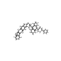 C1=C(c2ccccc2)CCC(c2c3ccccc3c(C3=CC=C4Sc5cc6cc7oc8ccccc8c7cc6cc5C4C3)c3ccccc23)=C1